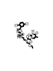 CCOC(=O)CN(CCNS(=O)(=O)c1nnc(-c2cc(Cl)ccc2Cl)s1)C(=O)Cn1cc(C)c(=O)[nH]c1=O